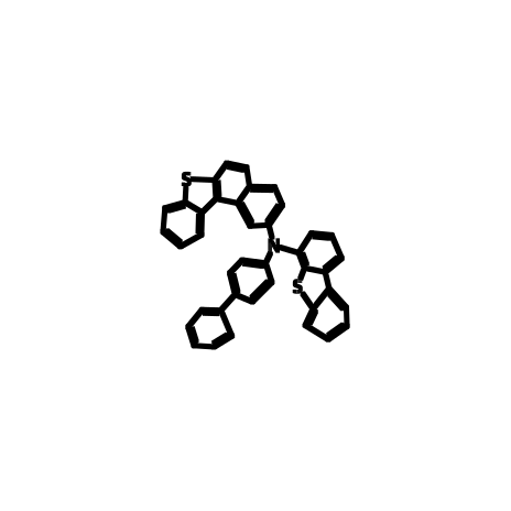 c1ccc(-c2ccc(N(c3ccc4ccc5sc6ccccc6c5c4c3)c3cccc4c3sc3ccccc34)cc2)cc1